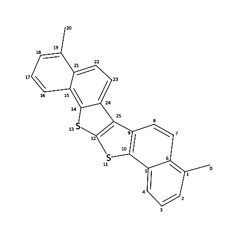 Cc1cccc2c1ccc1c2sc2sc3c4cccc(C)c4ccc3c21